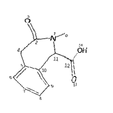 CN1C(=O)Cc2ccccc2C1C(=O)O